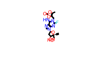 C#C[C@]1(CO)O[C@@H](n2cnc3c(=N)n(Cc4oc(=O)oc4C)c(F)nc32)C[C@@H]1O